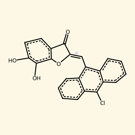 O=C1/C(=C/c2c3ccccc3c(Cl)c3ccccc23)Oc2c1ccc(O)c2O